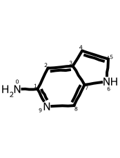 Nc1cc2c[c][nH]c2cn1